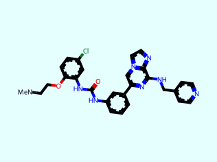 CNCCOc1ccc(Cl)cc1NC(=O)Nc1cccc(-c2cn3ccnc3c(NCc3ccncc3)n2)c1